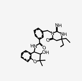 CCC1(CC)CC(=O)N(Cc2cccc(C(=O)NC3c4ccccc4OC(C)(C)C3O)c2)C(=N)N1